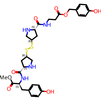 COC(=O)[C@H](Cc1ccc(O)cc1)NC(=O)[C@@H]1C[C@@H](SS[C@H]2CN[C@H](C(=O)NCCC(=O)OCc3ccc(O)cc3)C2)CN1